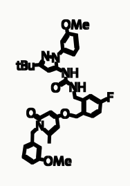 COc1cccc(Cn2c(C)cc(OCc3ccc(F)cc3CNC(=O)Nc3cc(C(C)(C)C)nn3-c3cccc(OC)c3)cc2=O)c1